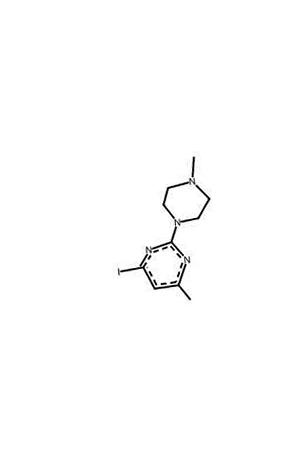 Cc1cc(I)nc(N2CCN(C)CC2)n1